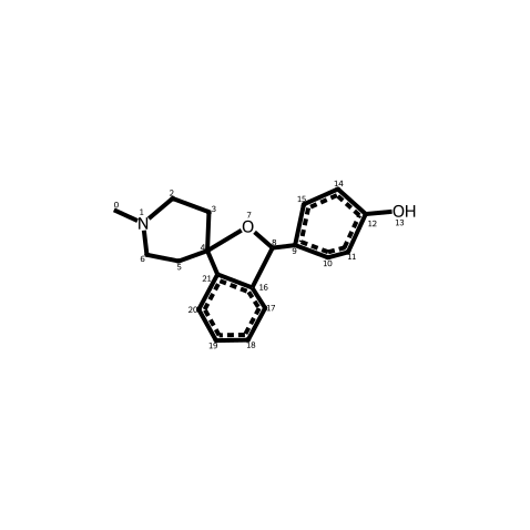 CN1CCC2(CC1)OC(c1ccc(O)cc1)c1ccccc12